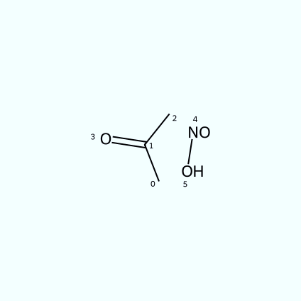 CC(C)=O.O=NO